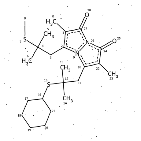 Cc1c(CC(C)(C)SI)n2c(CC(C)(C)SC3CCCCC3)c(C)c(=O)n2c1=O